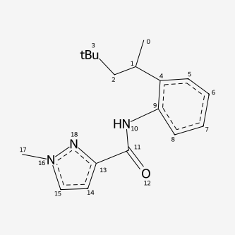 CC(CC(C)(C)C)c1ccccc1NC(=O)c1ccn(C)n1